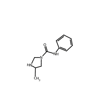 CC1CN(C(=O)Nc2ccccc2)CN1